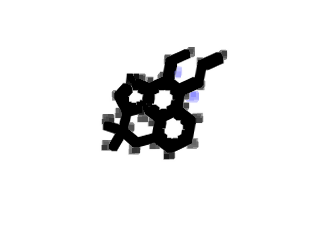 C=C/C=c1\c(=C/C)c2ncc3n2c2c(cccc12)CC3(C)C